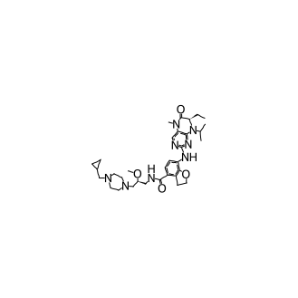 CC[C@@H]1C(=O)N(C)c2cnc(Nc3ccc(C(=O)NC[C@@H](CN4CCN(CC5CC5)CC4)OC)c4c3OCC4)nc2N1C(C)C